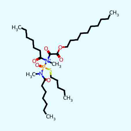 CCCCCCCCCCOC(=O)C(=O)[N+](C)(C(=O)CCCCCC)P(=O)(SCCCCC)N(C)C(=O)CCCCCC